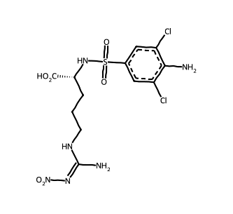 N/C(=N/[N+](=O)[O-])NCCC[C@@H](NS(=O)(=O)c1cc(Cl)c(N)c(Cl)c1)C(=O)O